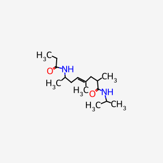 CCC(=O)NC(C)C/C=C(\C)CC(C)C(=O)NC(C)C